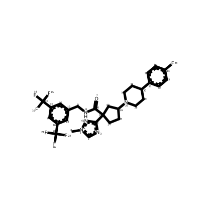 Cn1cnc(C2(C(=O)NCc3cc(C(F)(F)F)cc(C(F)(F)F)c3)CCC(N3CCC(c4ccc(F)cc4)CC3)C2)n1